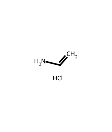 C=CN.Cl